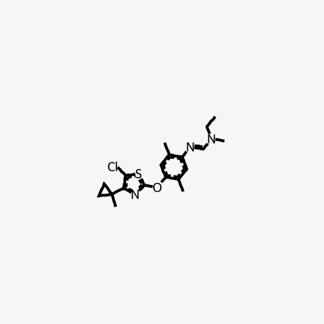 CCN(C)/C=N/c1cc(C)c(Oc2nc(C3(C)CC3)c(Cl)s2)cc1C